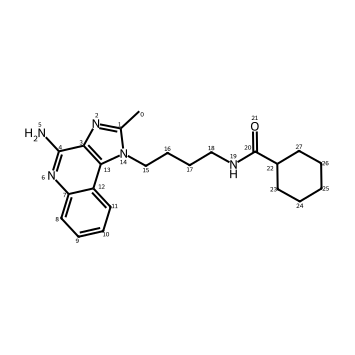 Cc1nc2c(N)nc3ccccc3c2n1CCCCNC(=O)C1CCCCC1